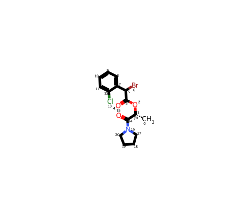 C[C@@H](OC(=O)C(Br)c1ccccc1Cl)C(=O)N1CCCC1